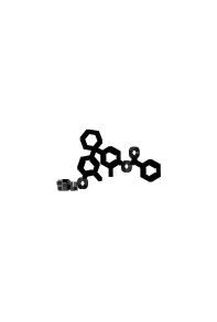 Cc1cc(C2(c3ccc(OC(C)(C)C)c(C)c3)CCCCC2)ccc1OC(=O)c1ccccc1